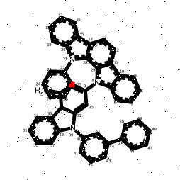 CC1C=C(n2c3ccccc3c3ccc4c5ccccc5n(-c5ccccc5)c4c32)C=C2C1c1ccccc1N2c1cccc(-c2ccccc2)c1